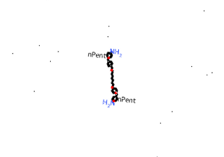 CCCCCc1cc(N)ccc1Cc1ccc(CCCCCCCCCCc2ccc(Cc3ccc(N)cc3CCCCC)cc2)cc1